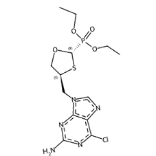 CCOP(=O)(OCC)[C@H]1OC[C@H](Cn2cnc3c(Cl)nc(N)nc32)S1